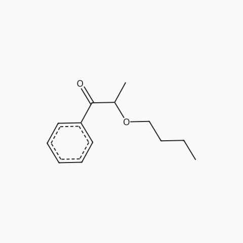 CCCCOC(C)C(=O)c1ccccc1